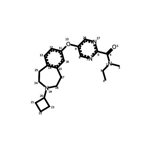 CCN(C)C(=O)c1ncc(Oc2ccc3c(c2)CCN(C2CCC2)CC3)cn1